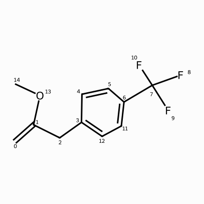 C=C(Cc1ccc(C(F)(F)F)cc1)OC